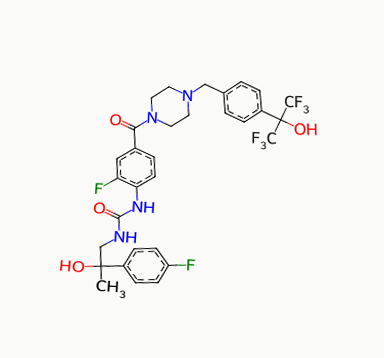 CC(O)(CNC(=O)Nc1ccc(C(=O)N2CCN(Cc3ccc(C(O)(C(F)(F)F)C(F)(F)F)cc3)CC2)cc1F)c1ccc(F)cc1